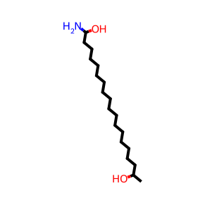 CC(O)CCCCCCCCCCCCCCCCC(N)O